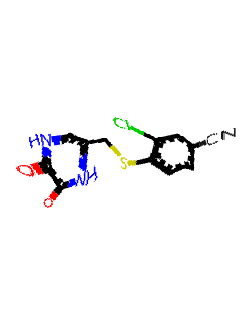 N#Cc1ccc(SCc2c[nH]c(=O)c(=O)[nH]2)c(Cl)c1